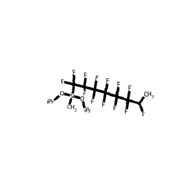 CC(C)O[Si](C)(OC(C)C)C(F)(F)C(F)(F)C(F)(F)C(F)(F)C(F)(F)C(F)(F)C(C)F